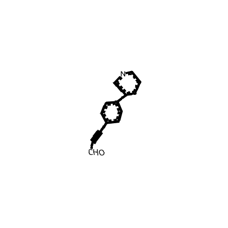 O=CC#Cc1ccc(-c2cccnc2)cc1